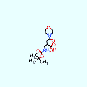 CC(C)(C)OC(=O)NCC(CC(=O)N1CCOCC1)C(=O)O